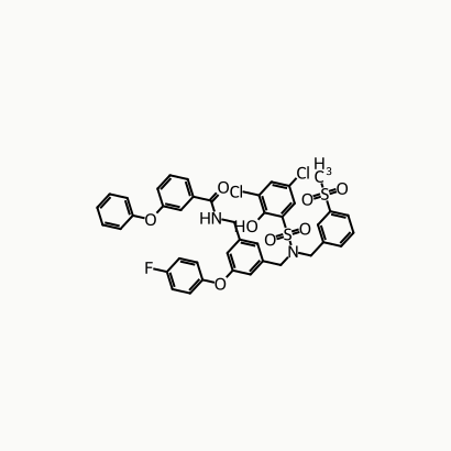 CS(=O)(=O)c1cccc(CN(Cc2cc(CNC(=O)c3cccc(Oc4ccccc4)c3)cc(Oc3ccc(F)cc3)c2)S(=O)(=O)c2cc(Cl)cc(Cl)c2O)c1